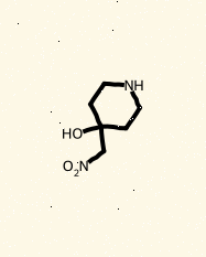 O=[N+]([O-])CC1(O)CCNCC1